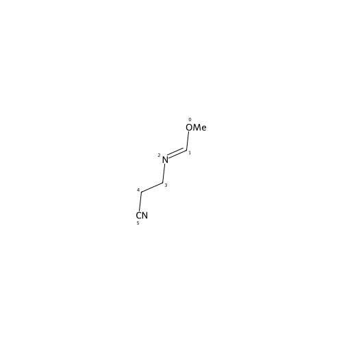 COC=NCCC#N